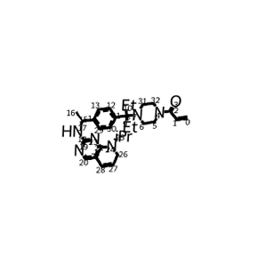 C=CC(=O)N1CCN(C(CC)(CC)c2ccc([C@H](C)Nc3ncc4c(n3)N(C(C)C)CC=C4)cc2)CC1